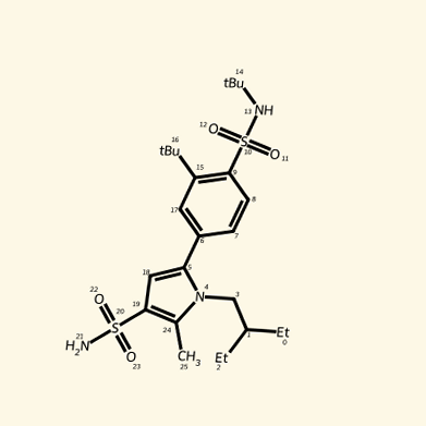 CCC(CC)Cn1c(-c2ccc(S(=O)(=O)NC(C)(C)C)c(C(C)(C)C)c2)cc(S(N)(=O)=O)c1C